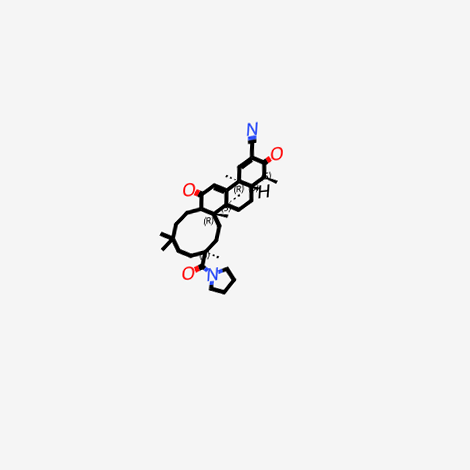 C[C@@H]1C(=O)C(C#N)=C[C@]2(C)C3=CC(=O)C4CCC(C)(C)CC[C@](C)(C(=O)N5CCCC5)CC[C@@]4(C)[C@]3(C)CC[C@@H]12